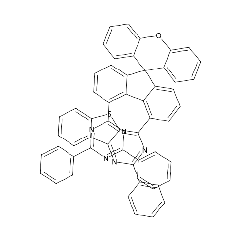 c1ccc(-c2nc(-c3ccccc3)nc(-c3cccc4c3-c3c(-c5nc(-c6ccccc6)nc6c5sc5ccccc56)cccc3C43c4ccccc4Oc4ccccc43)n2)cc1